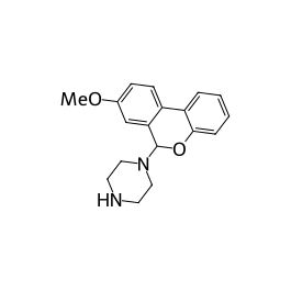 COc1ccc2c(c1)C(N1CCNCC1)Oc1ccccc1-2